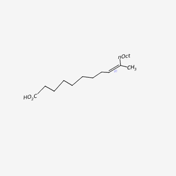 CCCCCCCC/C(C)=C\CCCCCCCC(=O)O